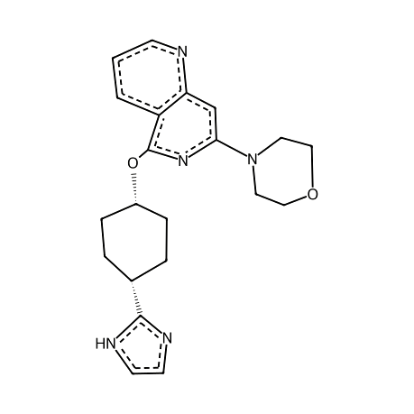 c1cnc2cc(N3CCOCC3)nc(O[C@H]3CC[C@@H](c4ncc[nH]4)CC3)c2c1